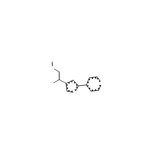 O=COCC(Br)c1c[nH]c(-c2ccncc2)c1